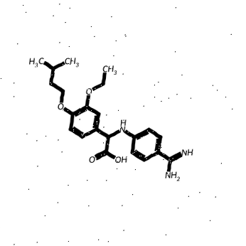 CCOc1cc(C(Nc2ccc(C(=N)N)cc2)C(=O)O)ccc1OCCC(C)C